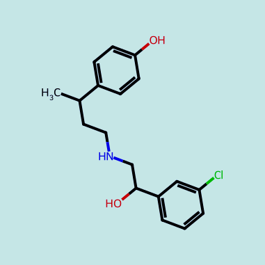 CC(CCNCC(O)c1cccc(Cl)c1)c1ccc(O)cc1